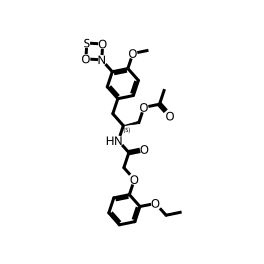 CCOc1ccccc1OCC(=O)N[C@H](COC(C)=O)Cc1ccc(OC)c(N2OSO2)c1